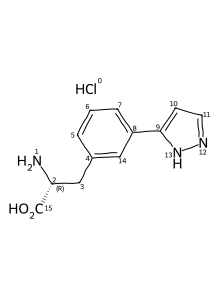 Cl.N[C@H](Cc1cccc(-c2ccn[nH]2)c1)C(=O)O